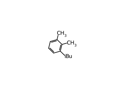 [CH2]C(CC)c1cccc(C)c1C